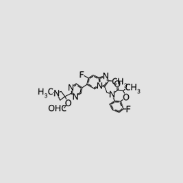 Cc1nc2cc(F)c(-c3cnc(C4(OC=O)CN(C)C4)nc3)cn2c1CN1C(=O)[C@@H](C)Oc2c(F)cccc21